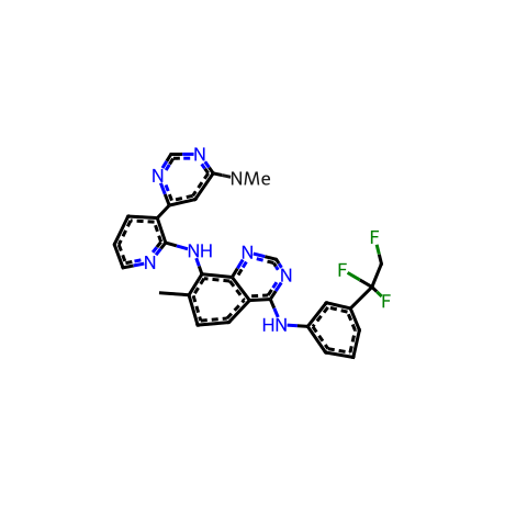 CNc1cc(-c2cccnc2Nc2c(C)ccc3c(Nc4cccc(C(F)(F)CF)c4)ncnc23)ncn1